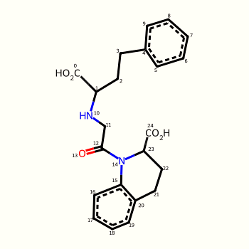 O=C(O)C(CCc1ccccc1)NCC(=O)N1c2ccccc2CCC1C(=O)O